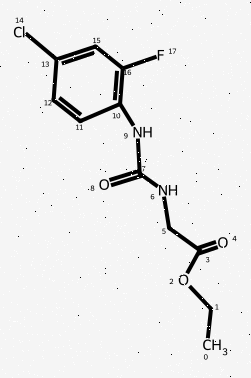 CCOC(=O)CNC(=O)Nc1ccc(Cl)cc1F